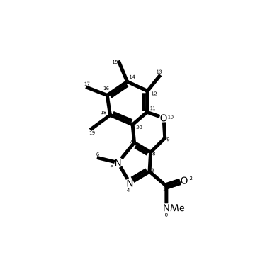 CNC(=O)c1nn(C)c2c1COc1c(C)c(C)c(C)c(C)c1-2